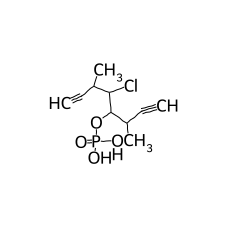 C#CC(C)C(Cl)C(OP(=O)(O)O)C(C)C#C